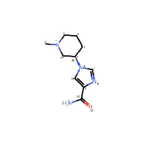 CN1CCC[C@@H](n2cnc(C(N)=O)c2)C1